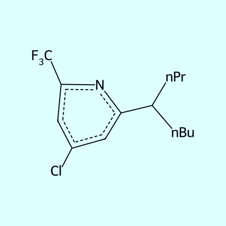 CCCCC(CCC)c1cc(Cl)cc(C(F)(F)F)n1